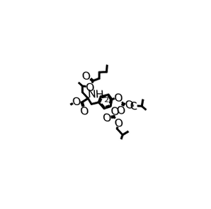 CCCCC(=O)OC(C)C[C@@](N)(Cc1ccc(OC(=O)OCC(C)C)c(OC(=O)OCC(C)C)c1)C(=O)OC